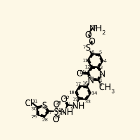 Cc1nc2ccc(SOON)cc2c(=O)n1-c1ccc(NC(=O)NS(=O)(=O)c2ccc(Cl)s2)cc1